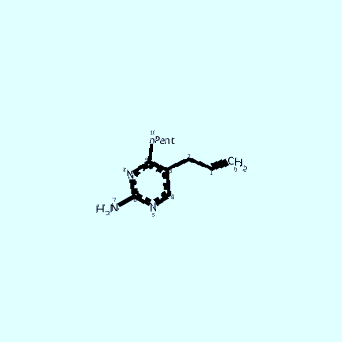 C=CCc1cnc(N)nc1CCCCC